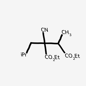 CCOC(=O)C(C)C(C#N)(CC(C)C)C(=O)OCC